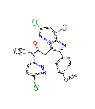 COc1ccc(-c2nc3c(Cl)cc(Cl)cn3c2CC(=O)N(C)c2ccc(Cl)nn2)cc1